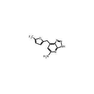 Nc1cc(Cc2ccc(C(F)(F)F)o2)c2nn[nH]c2n1